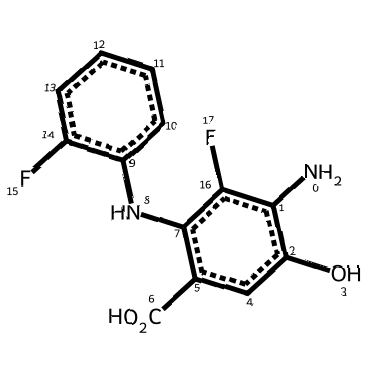 Nc1c(O)cc(C(=O)O)c(Nc2ccccc2F)c1F